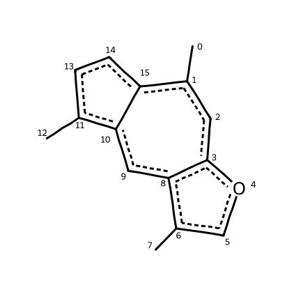 Cc1cc2occ(C)c2cc2c(C)ccc1-2